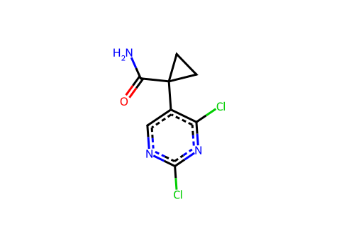 NC(=O)C1(c2cnc(Cl)nc2Cl)CC1